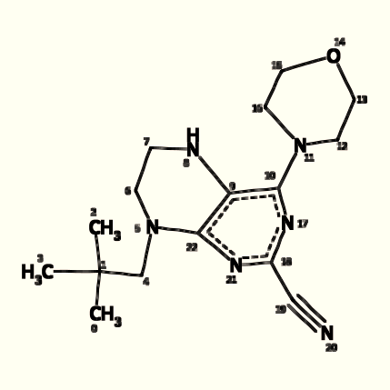 CC(C)(C)CN1CCNc2c(N3CCOCC3)nc(C#N)nc21